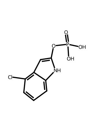 O=P(O)(O)Oc1cc2c(Cl)cccc2[nH]1